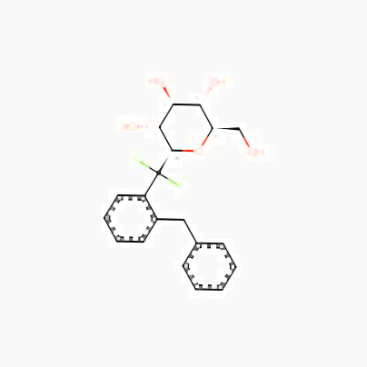 OC[C@H]1O[C@@H](C(F)(F)c2ccccc2Cc2ccccc2)[C@H](O)[C@@H](O)[C@@H]1O